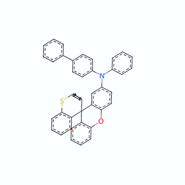 c1ccc(-c2ccc(N(c3ccccc3)c3ccc4c(c3)C3(c5ccccc5O4)c4ccccc4Sc4ccccc43)cc2)cc1